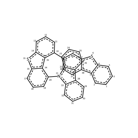 c1ccc2c(c1)sc1cc(-c3cccc4sc5cccc(-n6c7ccccc7c7ccccc76)c5c34)ccc12